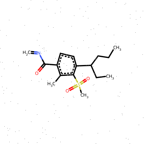 C=NC(=O)c1ccc(C(CC)CCC)c(S(C)(=O)=O)c1C